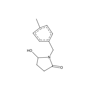 Cc1ccc(CN2C(=O)CCC2O)cc1